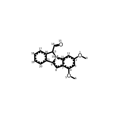 COc1cc(OC)c2cc3n(c2c1)C(C=O)c1ccccc1-3